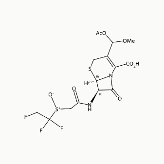 COC(OC(C)=O)C1=C(C(=O)O)N2C(=O)[C@@H](NC(=O)C[S+]([O-])C(F)(F)CF)[C@H]2SC1